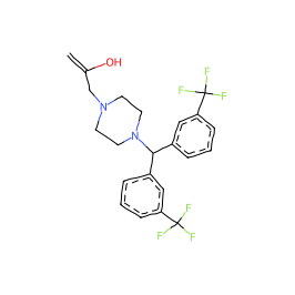 C=C(O)CN1CCN(C(c2cccc(C(F)(F)F)c2)c2cccc(C(F)(F)F)c2)CC1